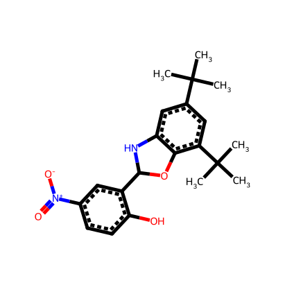 CC(C)(C)c1cc2c(c(C(C)(C)C)c1)OC(c1cc([N+](=O)[O-])ccc1O)N2